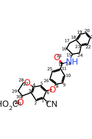 N#Cc1cc2c(cc1Oc1ccc(C(=O)NC3CCc4ccccc4C3)cc1)OCCC2OC(=O)O